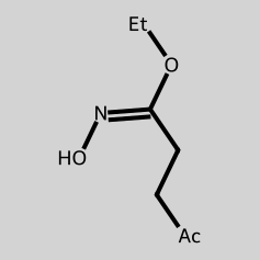 CCOC(CCC(C)=O)=NO